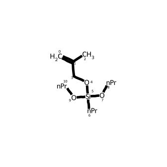 C=C(C)CO[Si](CCC)(OCCC)OCCC